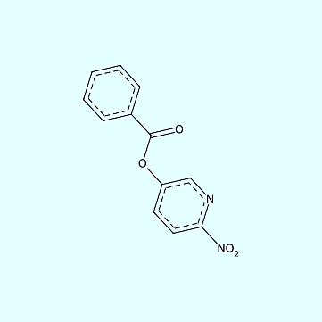 O=C(Oc1ccc([N+](=O)[O-])nc1)c1ccccc1